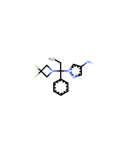 CCC(c1ccccc1)(N1CC(F)(F)C1)n1cc(N)cn1